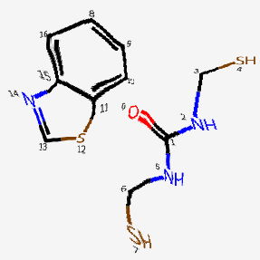 O=C(NCS)NCS.c1ccc2scnc2c1